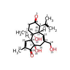 C=C(C)[C@@H]1C(=O)C[C@@H](C)[C@@]2(O)[C@H]1C=C(CO)C[C@]1(O)C(=O)C(C)=C[C@@H]21